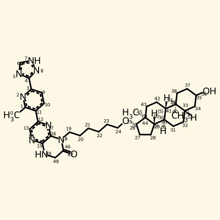 Cc1nc(-c2nc[nH]n2)ccc1-c1cnc2c(n1)N(CCCCCCO[C@H]1CC[C@H]3[C@@H]4CC[C@H]5CC(O)CC[C@]5(C)[C@H]4CC[C@]13C)C(=O)CN2